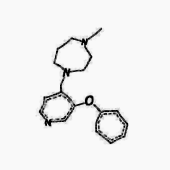 CN1CCCN(c2ccncc2Oc2ccccc2)CC1